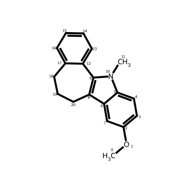 COc1ccc2c(c1)c1c(n2C)-c2ccccc2CCC1